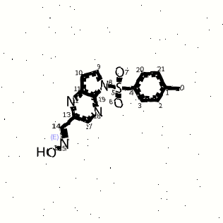 Cc1ccc(S(=O)(=O)n2ccc3nc(/C=N/O)cnc32)cc1